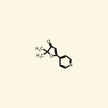 CC1(C)OC(c2ccncc2)=CC1=O